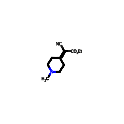 CCOC(=O)C(C#N)=C1CCN(C)CC1